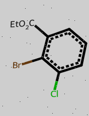 CCOC(=O)c1cccc(Cl)c1Br